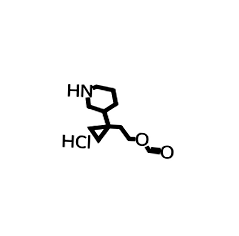 Cl.O=COCCC1(C2CCCNC2)CC1